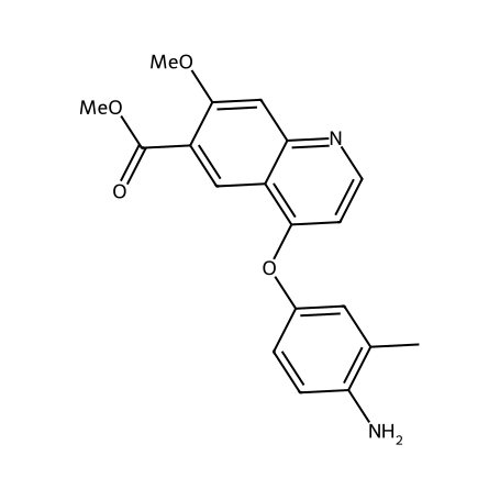 COC(=O)c1cc2c(Oc3ccc(N)c(C)c3)ccnc2cc1OC